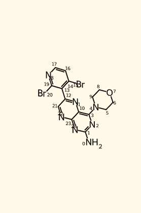 Nc1nc(N2CCOCC2)c2nc(-c3c(Br)ccnc3Br)cnc2n1